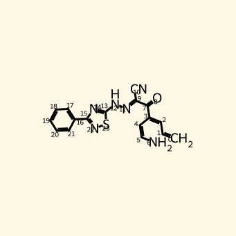 C=C/C=C(\C=C/N)C(=O)/C(C#N)=N/Nc1nc(-c2ccccc2)ns1